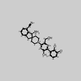 Cc1nc(N2CCC3(CC2)Cc2cccc(C#N)c2[C@H]3N)c(CO)nc1-c1cccc(Cl)c1Cl